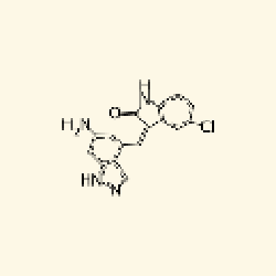 Nc1cc(/C=C2\C(=O)Nc3ccc(Cl)cc32)c2cn[nH]c2c1